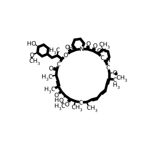 CO[C@H]1C[C@@H]2CC[C@@H](C)[C@@](O)(C2)C(=O)C(=O)N2CCCC[C@H]2C(=O)OC([C@H](C)CC2CC[C@@H](O)[C@H](OC)C2)CC(=O)[C@H](C)/C=C(\C)C(O)[C@@H](OC)C(=O)[C@H](C)C[C@H](C)/C=C/C=C/C=C/1C